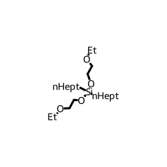 CCCCCCC[Si](CCCCCCC)(OCCOCC)OCCOCC